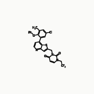 Cc1cc(Cl)cc(-c2ccnc3cc(Cn4c(=O)ccn(CC(F)(F)F)c4=O)sc23)c1OC(C)C